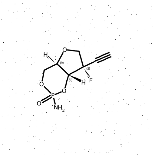 C#C[C@]1(F)CO[C@@H]2COP(N)(=O)O[C@H]21